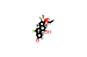 CCC(=O)O[C@]1(C(=O)SC)[C@H](C)C[C@H]2[C@@H]3C[C@H](F)C4=CC(=O)C=C[C@]4(C)[C@@]3(F)[C@@H](O)C[C@@]21C